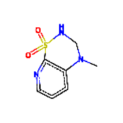 CN1CNS(=O)(=O)c2ncccc21